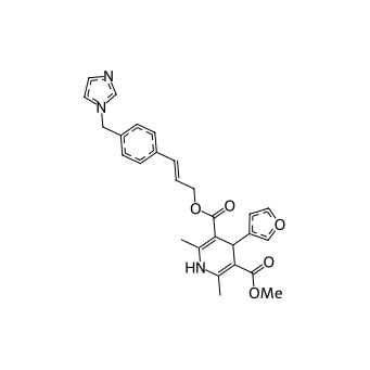 COC(=O)C1=C(C)NC(C)=C(C(=O)OCC=Cc2ccc(Cn3ccnc3)cc2)C1c1ccoc1